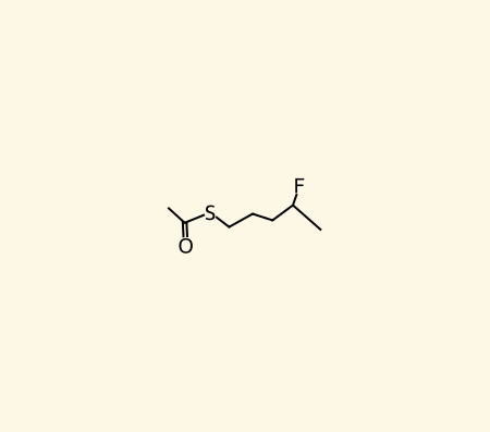 CC(=O)SCCCC(C)F